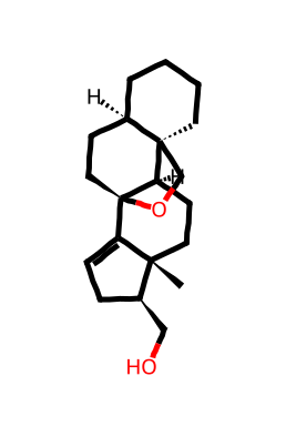 C[C@]12CC[C@@H]3[C@@]45CCCC[C@@H]4CC[C@@]3(OC5)C1=CC[C@@H]2CO